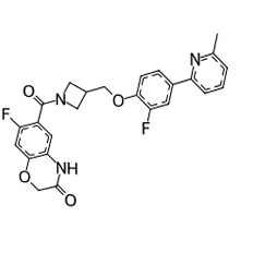 Cc1cccc(-c2ccc(OCC3CN(C(=O)c4cc5c(cc4F)OCC(=O)N5)C3)c(F)c2)n1